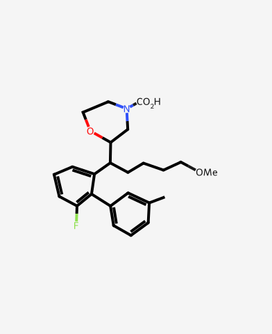 COCCCCC(c1cccc(F)c1-c1cccc(C)c1)C1CN(C(=O)O)CCO1